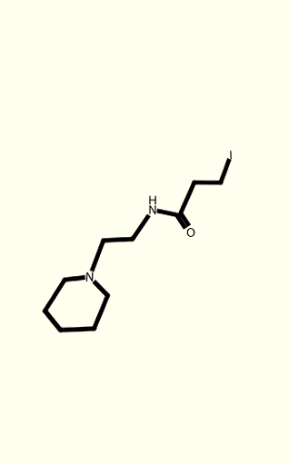 O=C(CCI)NCCN1CCCCC1